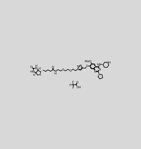 COc1cc2c(N[C@@H]3CCCNC3)nc(N3CCCC3)nc2cc1OCc1cn(CCOCCOCCNC(=O)CCCC[C@@H]2SC[C@@H]3NC(=O)N[C@@H]32)nn1.O=C(O)C(F)(F)F